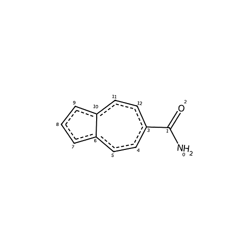 NC(=O)c1ccc2cccc-2cc1